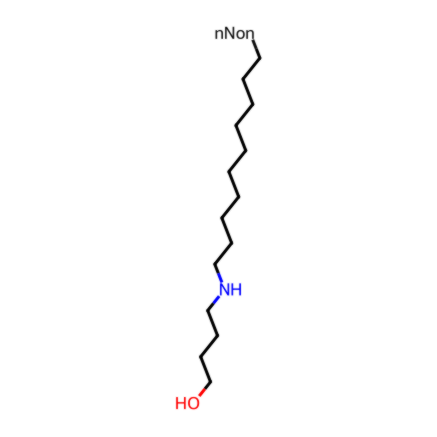 CCCCCCCCCCCCCCCCCCCNCCCCO